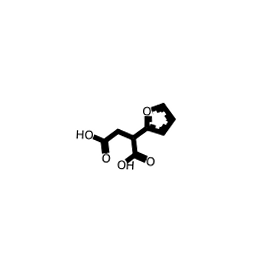 O=C(O)CC(C(=O)O)c1ccco1